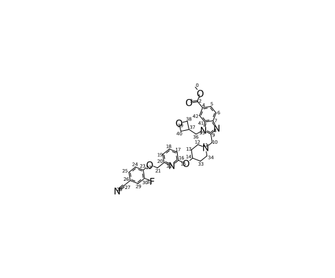 COC(=O)c1ccc2nc(CN3CCC(Oc4cccc(COc5ccc(C#N)cc5F)n4)CC3)n(CC3COC3)c2c1